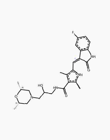 Cc1[nH]c(/C=C2\C(=O)Nc3ccc(F)cc32)c(C)c1C(=O)NCC(O)CN1C[C@@H](C)O[C@@H](C)C1